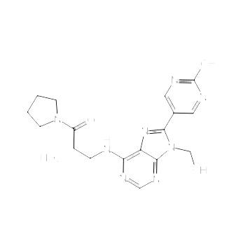 CCn1c(-c2cnc(C)nc2)nc2c(NC[C@H](C)C(=O)N3CCCC3)ncnc21